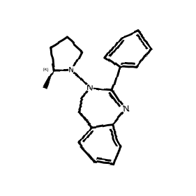 C[C@H]1CCCN1N1Cc2ccccc2N=C1c1ccccc1